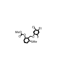 CCc1cc(F)c(OCc2c(OC(=O)OC)cccc2SC)cc1Cl